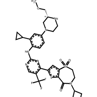 COC[C@H]1CN(c2ccc(Nc3ncc(C(F)(F)F)c(-c4cc5c(s4)C(=O)N(C4COC4)CCS5(=O)=O)n3)c(C3CC3)c2)CCN1